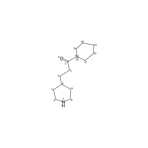 O=C(CCC1CCNCC1)N1CCCCC1